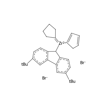 CC(C)(C)c1ccc2c(c1)-c1cc(C(C)(C)C)ccc1[CH]2[Zr+2]([C]1=CC=CC1)=[C]1CCCC1.[Br-].[Br-]